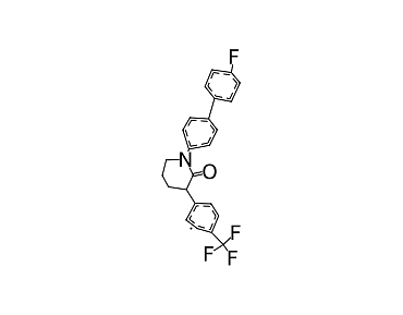 O=C1C(c2c[c]c(C(F)(F)F)cc2)CCCN1c1ccc(-c2ccc(F)cc2)cc1